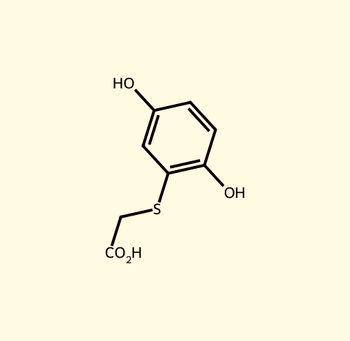 O=C(O)CSc1cc(O)ccc1O